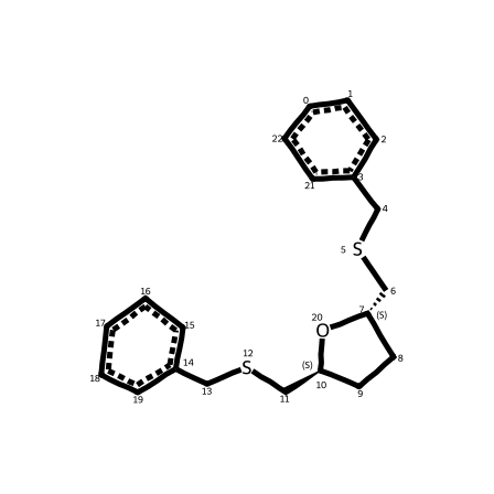 c1ccc(CSC[C@@H]2CC[C@@H](CSCc3ccccc3)O2)cc1